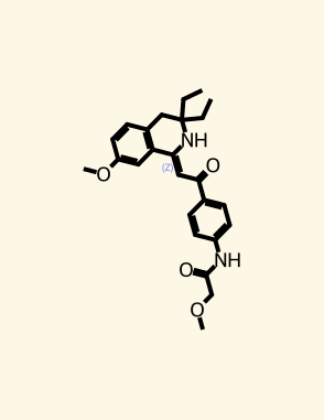 CCC1(CC)Cc2ccc(OC)cc2/C(=C/C(=O)c2ccc(NC(=O)COC)cc2)N1